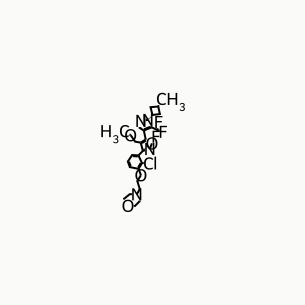 COCc1c(-c2cccc(OCCN3CCOCC3)c2Cl)noc1-c1cnn([C@H]2C[C@H](C)C2)c1C(F)(F)F